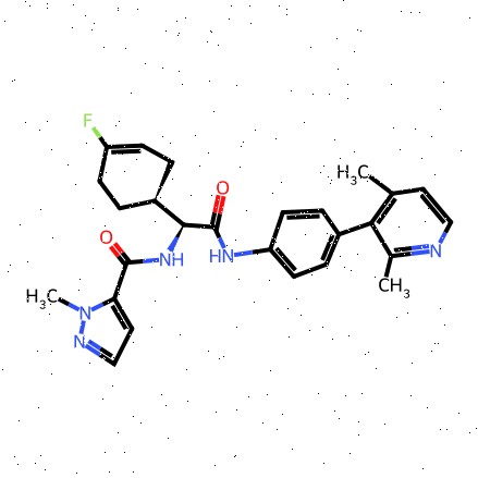 Cc1ccnc(C)c1-c1ccc(NC(=O)[C@@H](NC(=O)c2ccnn2C)[C@@H]2CC=C(F)CC2)cc1